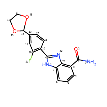 NC(=O)c1cccc2[nH]c(-c3ccc(C4OCCO4)cc3F)nc12